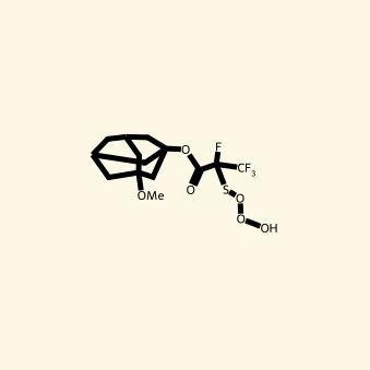 COC12CC3CC(C1)CC(OC(=O)C(F)(SOOO)C(F)(F)F)(C3)C2